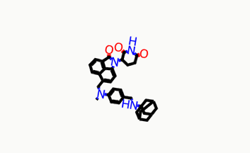 CN(Cc1ccc2c3c(cccc13)C(=O)N2C1CCC(=O)NC1=O)c1ccc(CNC23CC4CC(CC(C4)C2)C3)cc1